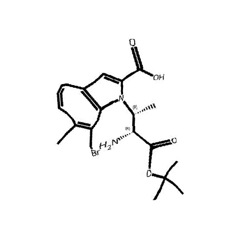 Cc1ccc2cc(C(=O)O)n([C@H](C)[C@@H](N)C(=O)OC(C)(C)C)c2c1Br